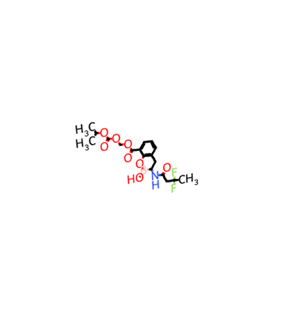 CC(C)OC(=O)OCOC(=O)c1cccc2c1OB(O)C(NC(=O)CC(C)(F)F)C2